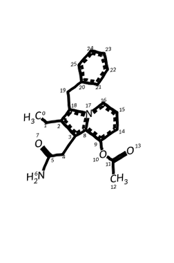 CCc1c(CC(N)=O)c2c(OC(C)=O)cccn2c1Cc1ccccc1